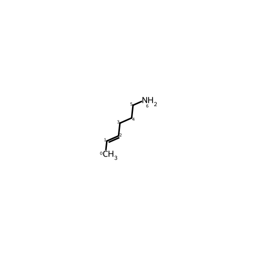 C/C=C/CCCN